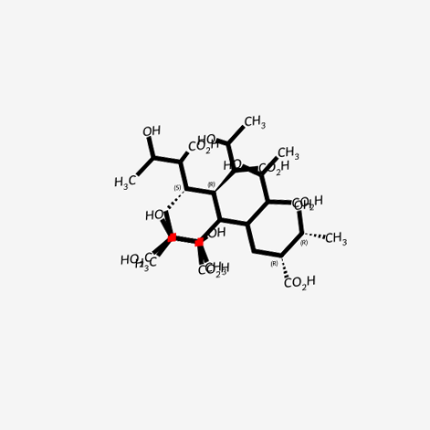 CC(O)C(C[C@H](C(C(=O)O)C(C)O)[C@@H](C(C(=O)O)C(C)O)C(C(C[C@@H](C(=O)O)[C@@H](C)O)C(C(=O)O)C(C)O)C(C(=O)O)C(C)O)C(=O)O